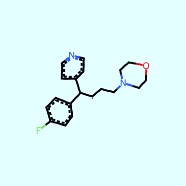 Fc1ccc(C([CH]CCN2CCOCC2)c2ccncc2)cc1